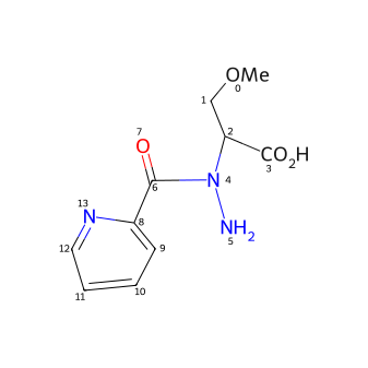 COCC(C(=O)O)N(N)C(=O)c1ccccn1